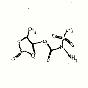 CC1OS(=O)OC1OC(=O)N(N)S(C)(=O)=O